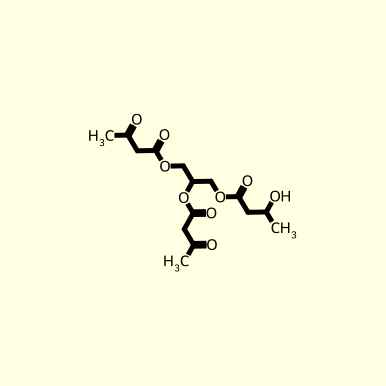 CC(=O)CC(=O)OCC(COC(=O)CC(C)O)OC(=O)CC(C)=O